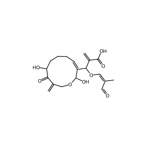 C=C1COC(O)C(C(OC=C(C)C=O)C(=C)C(=O)O)=CCCCC(O)C1=O